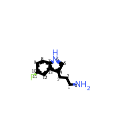 NCCCc1c[nH]c2ccc(F)cc12